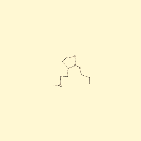 CCCOB1OCCN1CCOC